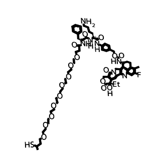 CC[C@@]1(O)C(=O)OCc2c1cc1n(c2=O)Cc2c-1nc1cc(F)c(C)c3c1c2[C@@H](NC(=O)OCc1ccc(NC(=O)[C@H](CCCCN)NC(=O)[C@H](Cc2ccccc2)NC(=O)CCOCCOCCOCCOCCOCCOCCOCCOCCOCCC(C)S)cc1)CC3